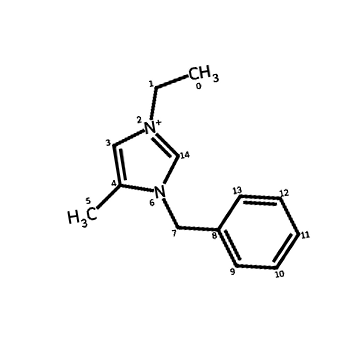 CC[n+]1cc(C)n(Cc2ccccc2)c1